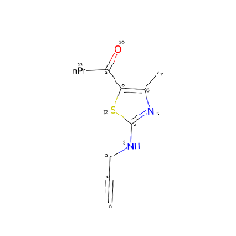 C#CCNc1nc(C)c(C(=O)CCC)s1